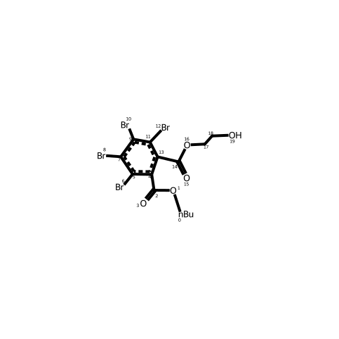 CCCCOC(=O)c1c(Br)c(Br)c(Br)c(Br)c1C(=O)OCCO